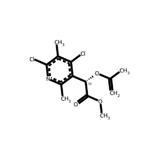 C=C(C)O[C@H](C(=O)OC)c1c(C)nc(Cl)c(C)c1Cl